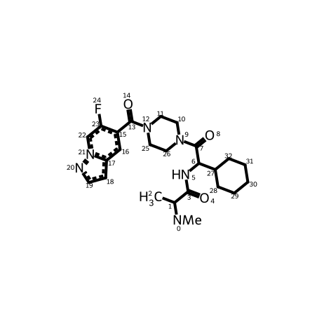 CNC(C)C(=O)NC(C(=O)N1CCN(C(=O)c2cc3ccnn3cc2F)CC1)C1CCCCC1